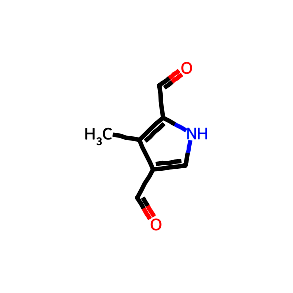 Cc1c(C=O)c[nH]c1C=O